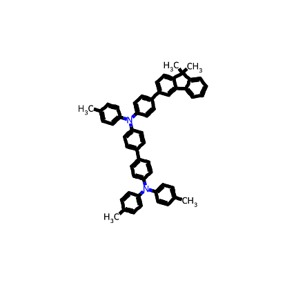 Cc1ccc(N(c2ccc(C)cc2)c2ccc(-c3ccc(N(c4ccc(C)cc4)c4ccc(-c5ccc6c(c5)-c5ccccc5C6(C)C)cc4)cc3)cc2)cc1